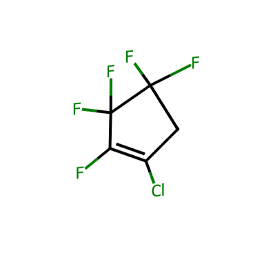 FC1=C(Cl)CC(F)(F)C1(F)F